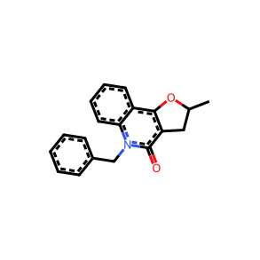 CC1Cc2c(c3ccccc3n(Cc3ccccc3)c2=O)O1